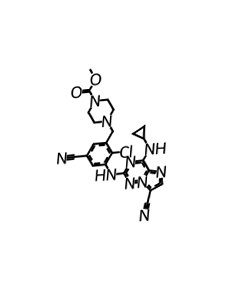 COC(=O)N1CCN(Cc2cc(C#N)cc(Nc3nc(NC4CC4)c4ncc(C#N)n4n3)c2Cl)CC1